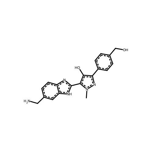 Cn1nc(-c2ccc(CO)cc2)c(O)c1-c1nc2ccc(CN)cc2[nH]1